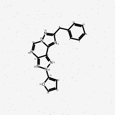 c1ccc(Cc2nc3c4nn(-c5ccco5)nc4ncn3n2)cc1